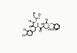 CCOC(CN(C(=O)C(Cc1ccc(Cl)c(Cl)c1)NC(=O)C(CNC(=O)O)NC(=O)OCc1ccccc1)C(C)C)OCC